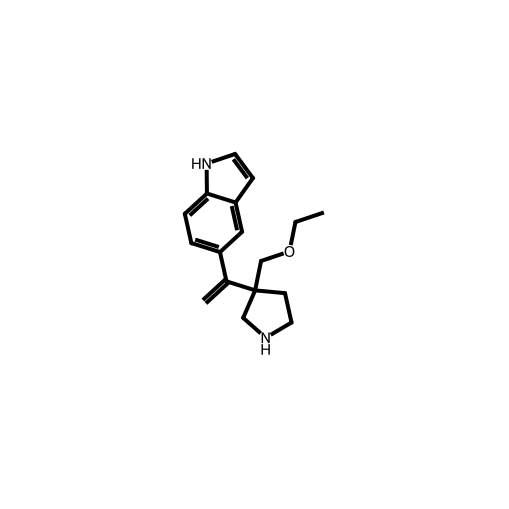 C=C(c1ccc2[nH]ccc2c1)C1(COCC)CCNC1